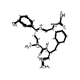 CNC[C@H](CC1CCCCC1)NC(=O)N(C)CC[C@@H](OCCNC(=O)O)c1cccc(Cl)c1